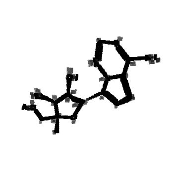 CC(=O)OC[C@@]1(C)O[C@@H](c2ccc3c(N)ncnn23)[C@H](O)[C@@H]1O